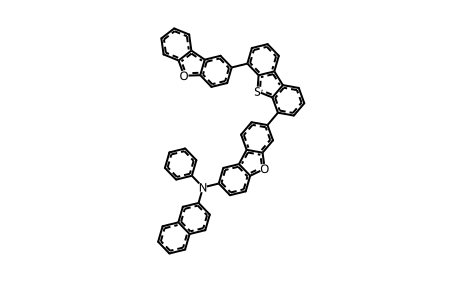 c1ccc(N(c2ccc3ccccc3c2)c2ccc3oc4cc(-c5cccc6c5sc5c(-c7ccc8oc9ccccc9c8c7)cccc56)ccc4c3c2)cc1